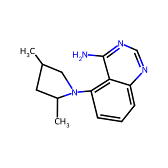 CC1CC(C)N(c2cccc3ncnc(N)c23)C1